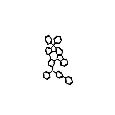 c1ccc(-c2ccc(N(c3ccccc3)c3ccc4c(c3)-n3c5ccccc5c5ccc6c(c53)-c3c-4cccc3C6(c3ccccc3)c3ccccc3)cc2)cc1